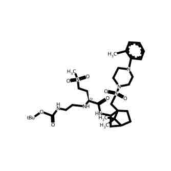 Cc1ccccc1N1CCN(S(=O)(=O)CC23CCC(CC2NC(=O)[C@H](CCS(C)(=O)=O)NCCNC(=O)OC(C)(C)C)C3(C)C)CC1